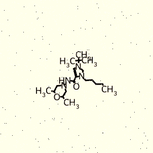 CCCCCN1CN(C(C)(C)C)C=C1C(=O)NN1CC(C)OC(C)C1